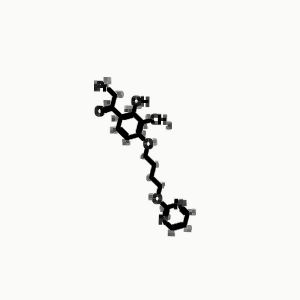 Cc1c(OCCCCOc2ncccn2)ccc(C(=O)CC(C)C)c1O